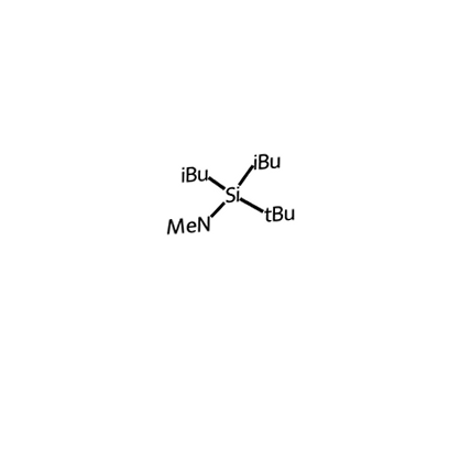 CCC(C)[Si](NC)(C(C)CC)C(C)(C)C